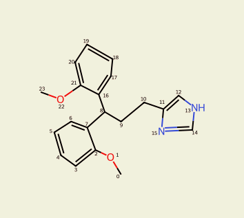 COc1ccccc1C(CCc1c[nH]cn1)c1ccccc1OC